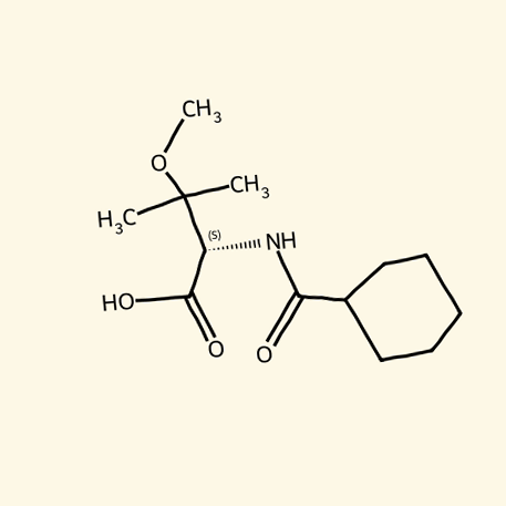 COC(C)(C)[C@H](NC(=O)C1CCCCC1)C(=O)O